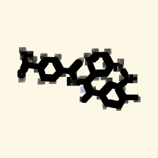 C=C(N/C(=C(\C)c1ccc(C)c(NCC)c1)c1ccccn1)c1ccc(C(N)=O)cc1